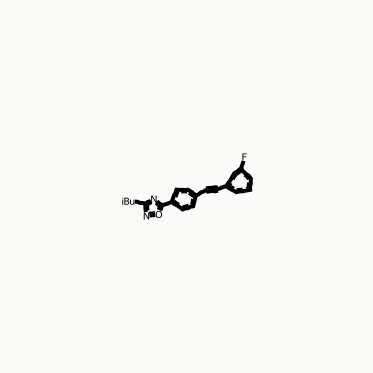 CCC(C)c1noc(-c2ccc(C#Cc3cccc(F)c3)cc2)n1